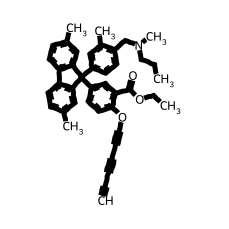 C#CC#CC#COc1ccc(C2(c3ccc(CN(C)CCC)c(C)c3)c3cc(C)ccc3-c3ccc(C)cc32)cc1C(=O)OCC